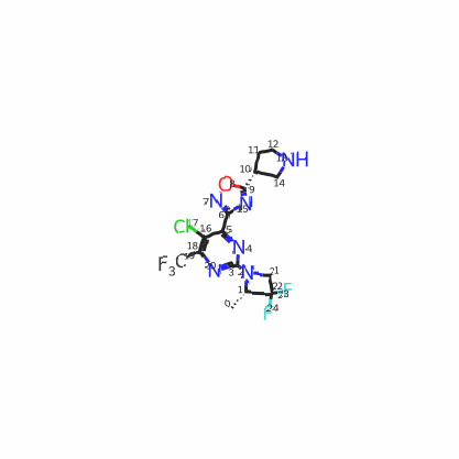 C[C@@H]1N(c2nc(-c3noc([C@@H]4CCNC4)n3)c(Cl)c(C(F)(F)F)n2)CC1(F)F